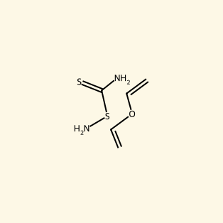 C=COC=C.NSC(N)=S